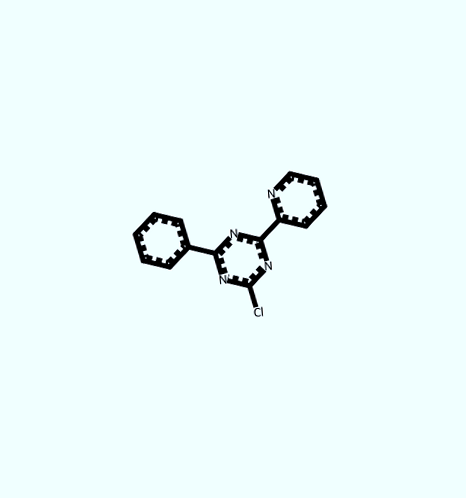 Clc1nc(-c2ccccc2)nc(-c2ccccn2)n1